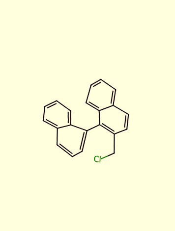 ClCc1ccc2ccccc2c1-c1cccc2ccccc12